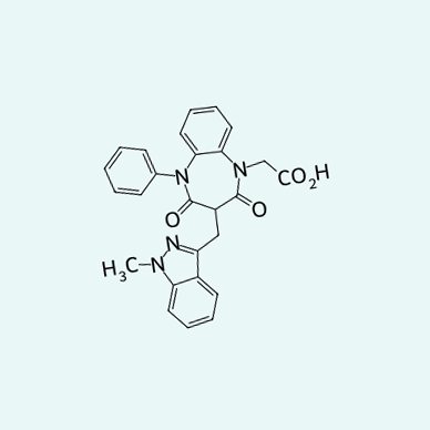 Cn1nc(CC2C(=O)N(CC(=O)O)c3ccccc3N(c3ccccc3)C2=O)c2ccccc21